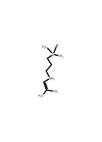 CC(C)=C[SiH2]CCC[Si](C)(C)Br